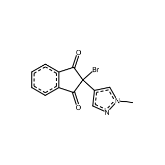 Cn1cc(C2(Br)C(=O)c3ccccc3C2=O)cn1